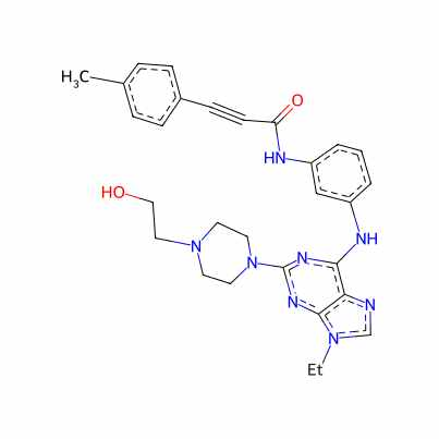 CCn1cnc2c(Nc3cccc(NC(=O)C#Cc4ccc(C)cc4)c3)nc(N3CCN(CCO)CC3)nc21